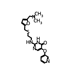 CN(C)Cc1ccc(CSCCNc2ncc(Oc3cccnc3)c(=O)[nH]2)o1